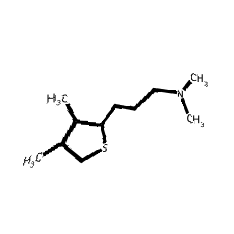 CC1CSC(CCCN(C)C)C1C